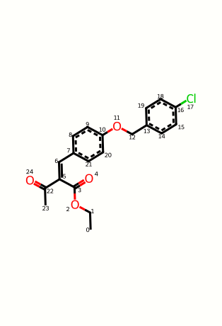 CCOC(=O)/C(=C\c1ccc(OCc2ccc(Cl)cc2)cc1)C(C)=O